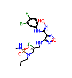 CCCN(C[C@@H](F)CNc1nonc1/C(=N/O)Nc1ccc(F)c(Br)c1)S(=O)(=O)NC